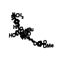 COC(=O)c1ccc(OCCCCCNC(C(=O)N[C@](C=O)(N2C[C@H](O)C[C@H]2C(=O)NCc2ccc(-c3scnc3C)cc2)C(C)(C)C)C(=O)OC(C)(C)C)cc1